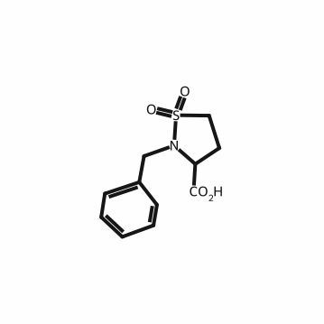 O=C(O)C1CCS(=O)(=O)N1Cc1ccccc1